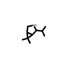 CC(C)C1NCC2C1C2(C)C